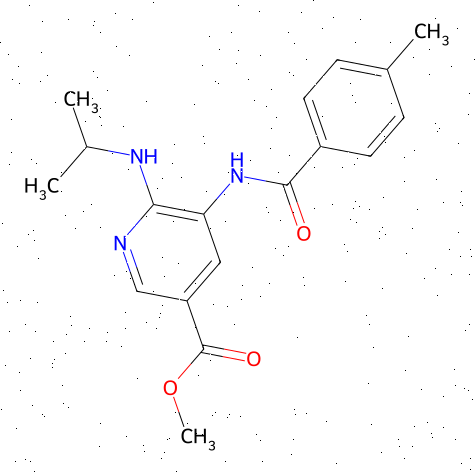 COC(=O)c1cnc(NC(C)C)c(NC(=O)c2ccc(C)cc2)c1